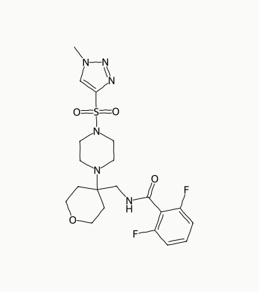 Cn1cc(S(=O)(=O)N2CCN(C3(CNC(=O)c4c(F)cccc4F)CCOCC3)CC2)nn1